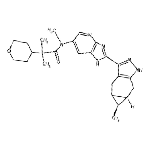 C[C@H]1C2Cc3c(-c4nc5ncc(N(C)C(=O)C(C)(C)C6CCOCC6)cc5[nH]4)n[nH]c3C[C@H]21